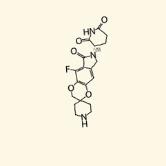 O=C1CC[C@H](N2Cc3cc4c(c(F)c3C2=O)OCC2(CCNCC2)O4)C(=O)N1